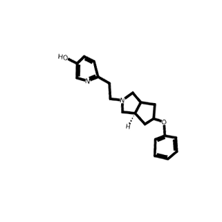 Oc1ccc(CCN2CC3CC(Oc4ccccc4)C[C@H]3C2)nc1